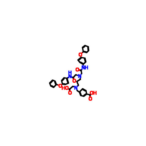 O=C(O)CN(CCCN(CC(=O)Nc1ccc(Oc2ccccc2)cc1)CC(=O)Nc1ccc(Oc2ccccc2)cc1)Cc1ccc(C(=O)O)cc1